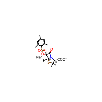 Cc1cc(C)c(S(=O)(=O)O[C@@H]2C(=O)N3[C@@H]2SC(C)(C)[C@@H]3C(=O)[O-])c(C)c1.[Na+]